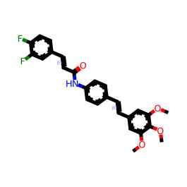 COc1cc(/C=C/c2ccc(NC(=O)/C=C/c3ccc(F)c(F)c3)cc2)cc(OC)c1OC